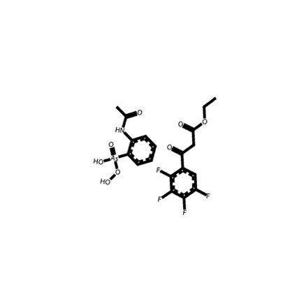 CC(=O)Nc1ccccc1[As](=O)(O)OO.CCOC(=O)CC(=O)c1cc(F)c(F)c(F)c1F